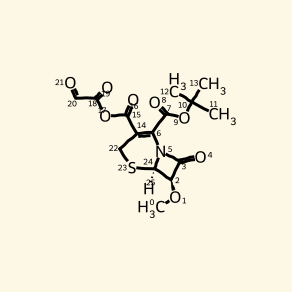 CO[C@@H]1C(=O)N2C(C(=O)OC(C)(C)C)=C(C(=O)OC(=O)C=O)CS[C@H]12